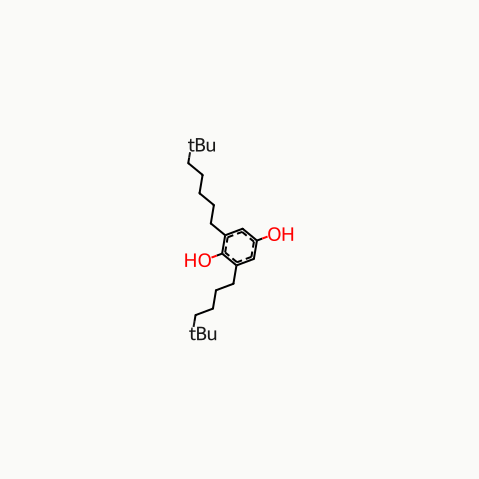 CC(C)(C)CCCCCc1cc(O)cc(CCCCC(C)(C)C)c1O